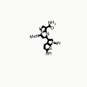 CCCc1ccc2c(-c3cc(NC)n4ncc(C(N)=O)c4n3)cn(C(C)C)c2n1